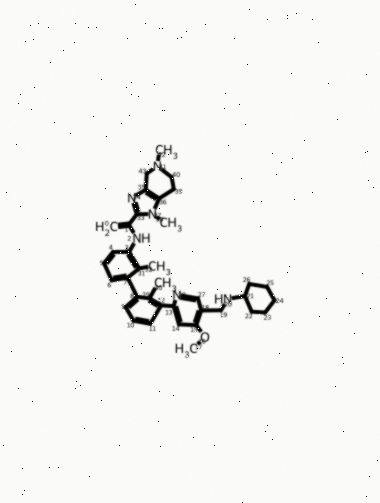 C=C(Nc1cccc(-c2cccc(-c3cc(OC)c(CNC4CCCCC4)cn3)c2C)c1C)c1nc2c(n1C)CCN(C)C2